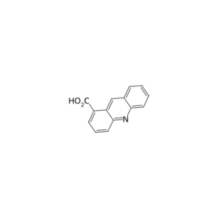 O=C(O)c1cccc2nc3ccccc3cc12